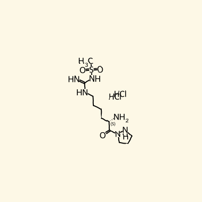 CS(=O)(=O)NC(=N)NCCCC[C@H](N)C(=O)N1CCCN1.Cl.Cl